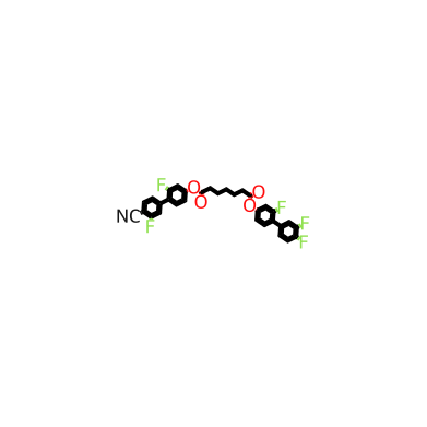 N#Cc1ccc(-c2ccc(OC(=O)CCCCCC(=O)Oc3ccc(-c4ccc(F)c(F)c4)c(F)c3)cc2F)cc1F